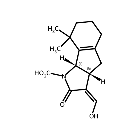 CC1(C)CCCC2=C1[C@@H]1[C@H](C2)C(=CO)C(=O)N1C(=O)O